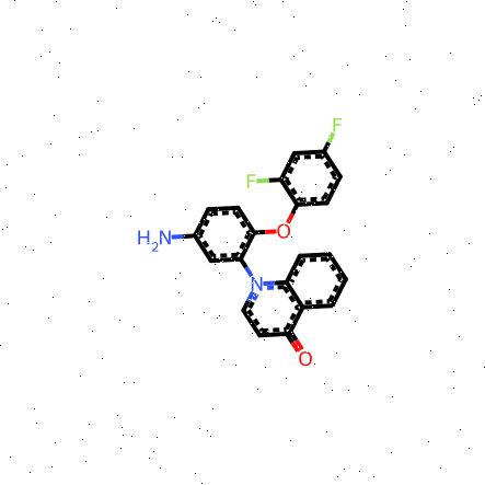 Nc1ccc(Oc2ccc(F)cc2F)c(-n2ccc(=O)c3ccccc32)c1